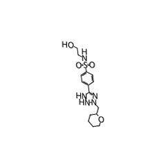 O=S(=O)(NCCO)c1ccc(C2=NN(CC3CCCCO3)NN2)cc1